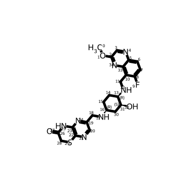 COc1cnc2ccc(F)c(CN[C@@H]3CC[C@@H](NCc4cnc5c(n4)NC(=O)CS5)C[C@@H]3O)c2n1